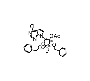 CC(=O)O[C@H]1[C@H](n2ccc3c(Cl)ncnc32)O[C@](CF)(COCc2ccccc2)[C@H]1OCc1ccccc1